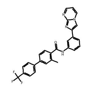 Cc1cc(-c2ccc(C(F)(F)F)cc2)ccc1C(=O)Nc1cccc(-c2cn3cccnc3n2)c1